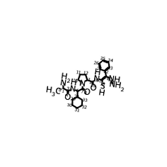 C[C@H](N)C(=O)NC(C(=O)N1CCCC1C(=O)N/C(S)=C(/NN)c1ccccc1)C1CCCCC1